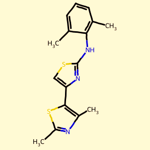 Cc1nc(C)c(-c2csc(Nc3c(C)cccc3C)n2)s1